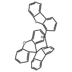 c1ccc2c(c1)Oc1ccccc1C21c2ccccc2-c2cccc(Nc3cccc4c3sc3ccccc34)c21